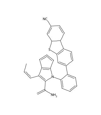 C=C(N)c1c(/C=C\C)c2c(n1-c1ccccc1-c1ccc3c(c1)SC1C=C(C#N)C=CC31)C=C=C2